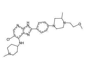 COCCN1CCN(c2ccc(-c3nc4c(NC5CCN(C)CC5)c(Cl)cnc4[nH]3)cc2)CC1C